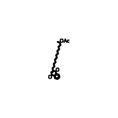 CC(=O)OC(C)CCCCCCCCCCCCC1=CC(=O)c2ccccc2C1=O